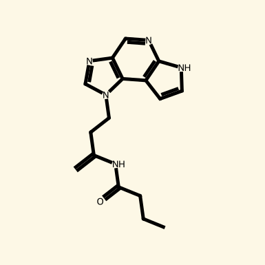 C=C(CCn1cnc2cnc3[nH]ccc3c21)NC(=O)CCC